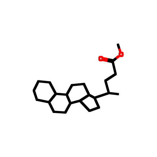 COC(=O)CCC(C)C1CCC2C1CCC1C3CCCCC3CCC12